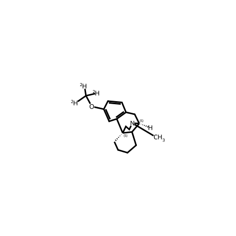 [2H]C([2H])([2H])Oc1ccc2c(c1)[C@]13CCCCC1[C@H](C2)N(C)CC3